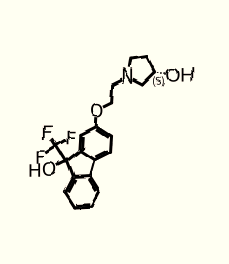 O[C@H]1CCN(CCOc2ccc3c(c2)C(O)(C(F)(F)F)c2ccccc2-3)C1